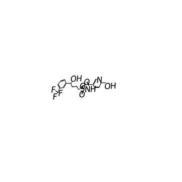 O=C(NS(=O)(=O)CCCC(O)c1cccc(C(F)(F)F)c1)c1ccc(CO)nc1